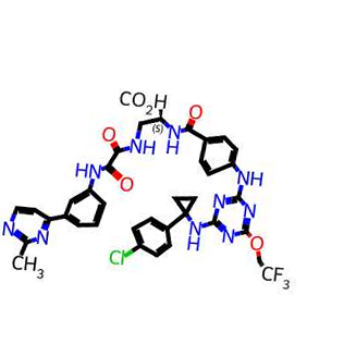 Cc1nccc(-c2cccc(NC(=O)C(=O)NC[C@H](NC(=O)c3ccc(Nc4nc(NC5(c6ccc(Cl)cc6)CC5)nc(OCC(F)(F)F)n4)cc3)C(=O)O)c2)n1